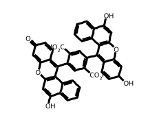 O=C(O)c1cc(-c2c3ccc(=O)cc-3oc3cc(O)c4ccccc4c23)c(C(=O)O)cc1C1=C2C=CC(O)C=C2Oc2cc(O)c3ccccc3c21